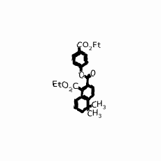 CCOC(=O)c1ccc(OC(=O)c2ccc3c(c2C(=O)OCC)C=CCC3(C)C)cc1